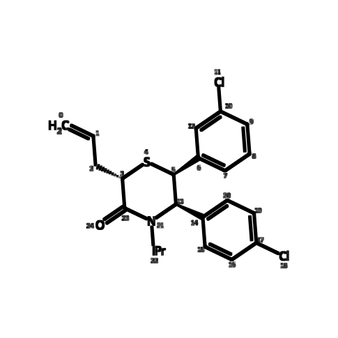 C=CC[C@@H]1S[C@@H](c2cccc(Cl)c2)[C@@H](c2ccc(Cl)cc2)N(C(C)C)C1=O